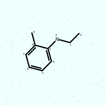 CC[N]c1ccccc1C